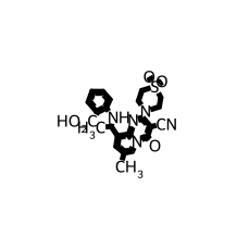 Cc1cc(C(C)Nc2ccccc2C(=O)O)c2nc(N3CCS(=O)(=O)CC3)c(C#N)c(=O)n2c1